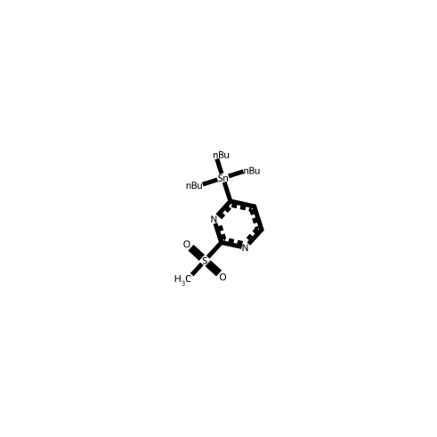 CCC[CH2][Sn]([CH2]CCC)([CH2]CCC)[c]1ccnc(S(C)(=O)=O)n1